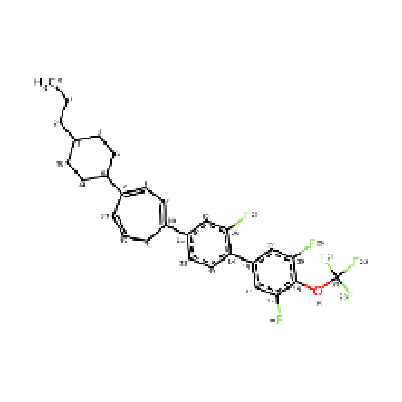 CCCC1CCC(C2=CC=C(c3ccc(-c4cc(F)c(OC(F)(F)F)c(F)c4)c(F)c3)CC=C2)CC1